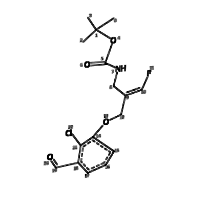 CC(C)(C)OC(=O)NC/C(=C\F)COc1cccc(C=O)c1Cl